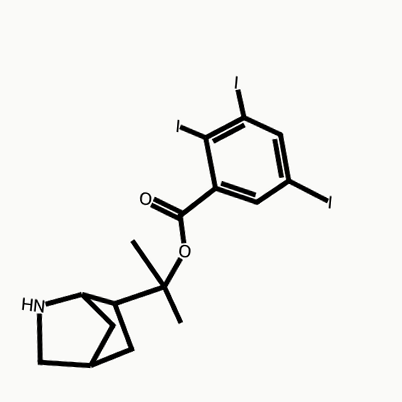 CC(C)(OC(=O)c1cc(I)cc(I)c1I)C1CC2CNC1C2